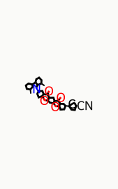 Cc1cccc2c3cccc(C)c3n(-c3ccc4oc5cc6oc7ccc(-c8ccc(C#N)cc8)cc7c(=O)c6cc5c(=O)c4c3)c12